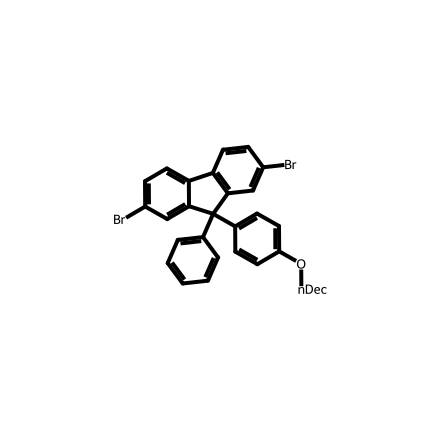 CCCCCCCCCCOc1ccc(C2(c3ccccc3)c3cc(Br)ccc3-c3ccc(Br)cc32)cc1